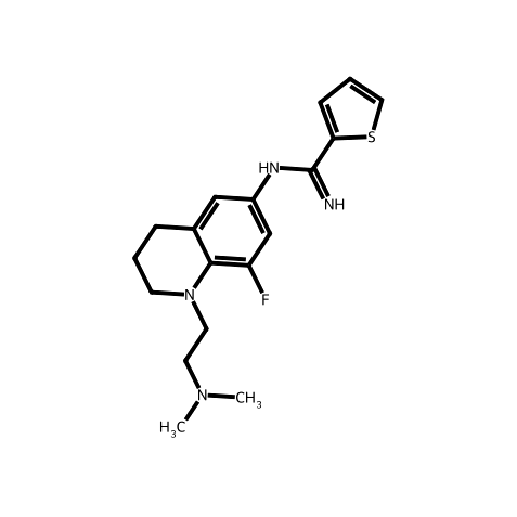 CN(C)CCN1CCCc2cc(NC(=N)c3cccs3)cc(F)c21